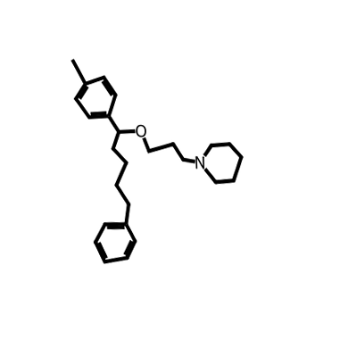 Cc1ccc(C(CCCCc2ccccc2)OCCCN2CCCCC2)cc1